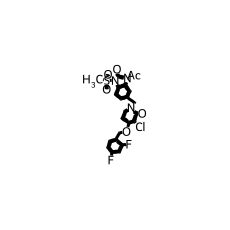 CC(=O)n1c(=O)n(S(C)(=O)=O)c2ccc(Cn3ccc(OCc4ccc(F)cc4F)c(Cl)c3=O)cc21